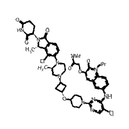 CNC(=O)COc1cc2cc(Nc3nc(N4CCC(O[C@H]5C[C@H](N6CCN(c7ccc8c(c7Cl)[C@H](C)N([C@@H]7CCC(=O)NC7=O)C8=O)[C@H](C)C6)C5)CC4)ncc3Cl)ccc2n(C(C)C)c1=O